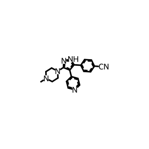 CN1CCN(c2n[nH]c(-c3ccc(C#N)cc3)c2-c2ccncc2)CC1